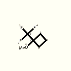 COC1(C(F)(F)F)CCC1